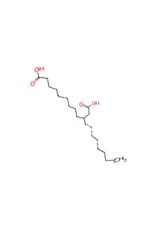 CCCCCCCCC(CCCCCCCCC(=O)O)CC(=O)O